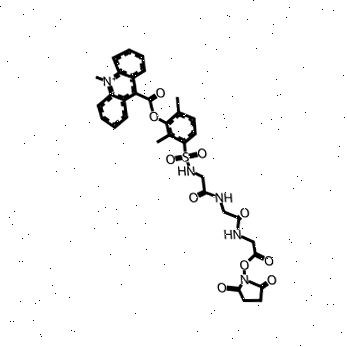 Cc1ccc(S(=O)(=O)NCC(=O)NCC(=O)NCC(=O)ON2C(=O)CCC2=O)c(C)c1OC(=O)c1c2ccccc2[n+](C)c2ccccc12